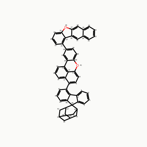 c1ccc2c(c1)-c1c(-c3ccc4c5c(cccc35)-c3cc(-c5cccc6oc7cc8ccccc8cc7c56)ccc3O4)cccc1C21C2CC3CC(C2)CC1C3